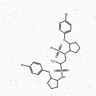 CC(CN(C1CCCC1Oc1ccc(Br)cc1)S(=O)(=O)C(C)C)S(=O)(=O)NC1CCCC1Oc1ccc(Br)cc1